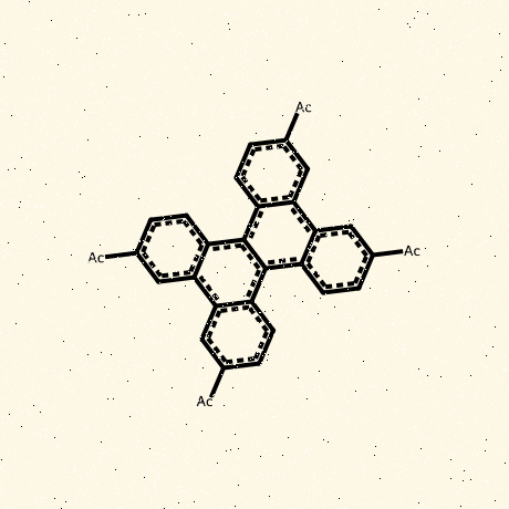 CC(=O)c1ccc2c(c1)c1cc(C(C)=O)ccc1c1c3ccc(C(C)=O)cc3c3cc(C(C)=O)ccc3c21